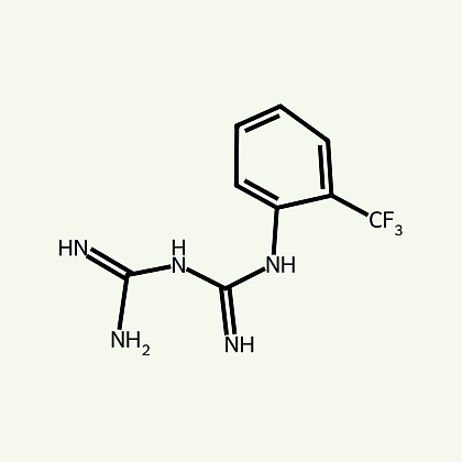 N=C(N)NC(=N)Nc1ccccc1C(F)(F)F